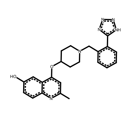 Cc1cc(OC2CCN(Cc3ccccc3-c3nnn[nH]3)CC2)c2cc(O)ccc2n1